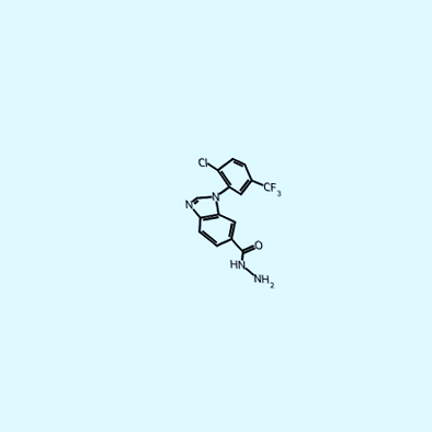 NNC(=O)c1ccc2ncn(-c3cc(C(F)(F)F)ccc3Cl)c2c1